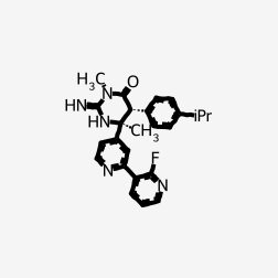 CC(C)c1ccc([C@H]2C(=O)N(C)C(=N)N[C@]2(C)c2ccnc(-c3cccnc3F)c2)cc1